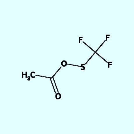 CC(=O)OSC(F)(F)F